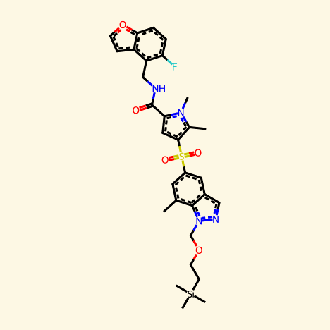 Cc1cc(S(=O)(=O)c2cc(C(=O)NCc3c(F)ccc4occc34)n(C)c2C)cc2cnn(COCC[Si](C)(C)C)c12